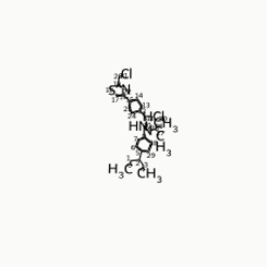 CCC(CC)c1ccc(N(NCc2ccc(-c3csc(CCl)n3)cc2)C(C)C)cc1.Cl